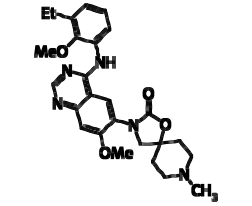 CCc1cccc(Nc2ncnc3cc(OC)c(N4CC5(CCN(C)CC5)OC4=O)cc23)c1OC